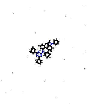 Cc1c(C)n(-c2ccccc2)c2ccc3c(c12)-c1ccccc1N(c1nc(-c2ccccc2)nc(-c2ccccc2)n1)c1ccccc1-3